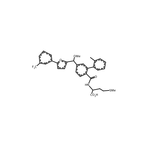 COC(c1ccc(C(=O)NC(CCSC)C(=O)O)c(-c2ccccc2C)c1)c1ccc(-c2cccc(C(F)(F)F)c2)o1